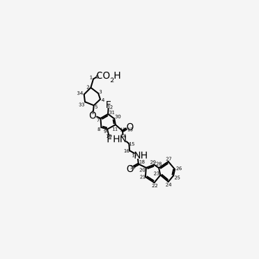 O=C(O)CC1CCC(Oc2cc(F)c(C(=O)NCCNC(=O)c3ccc4ccccc4c3)cc2F)CC1